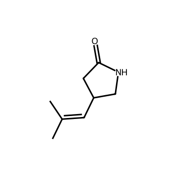 CC(C)=CC1CNC(=O)C1